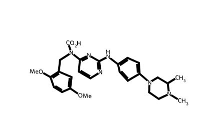 COc1ccc(OC)c(CN(C(=O)O)c2ccnc(Nc3ccc(N4CCN(C)C(C)C4)cc3)n2)c1